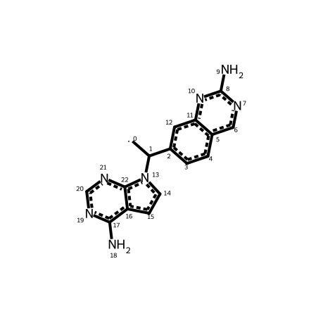 [CH2]C(c1ccc2cnc(N)nc2c1)n1ccc2c(N)ncnc21